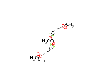 C=C(C)C(=O)OCCCCCCc1ccc(C(F)(F)Oc2ccc(OC(F)(F)c3ccc(CCCCCCOC(=O)CC)cc3)c(C)c2)cc1